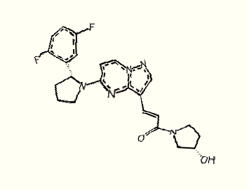 O=C(/C=C/c1cnn2ccc(N3CCC[C@@H]3c3cc(F)ccc3F)nc12)N1CC[C@H](O)C1